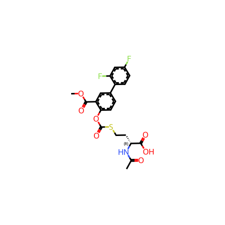 COC(=O)c1cc(-c2ccc(F)cc2F)ccc1OC(=O)SCC[C@@H](NC(C)=O)C(=O)O